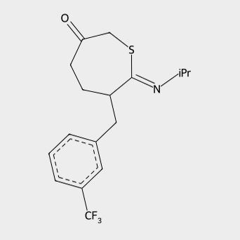 CC(C)/N=C1\SCC(=O)CCC1Cc1cccc(C(F)(F)F)c1